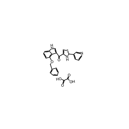 O=C(C1=CSC(c2cccnc2)N1)c1c[nH]c2cccc(OCc3ccccc3)c12.O=C(O)C(=O)O